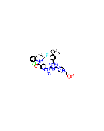 Cc1ccc(-c2nc(Nc3ccc(C(=O)Nc4c(C)cccc4Cl)cn3)nc(N3CCN(CCO)CC3)n2)cc1F